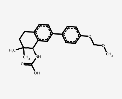 COCOc1ccc(-c2ccc3c(c2)[C@@H](NC(=O)O)C(C)(C)CC3)cc1